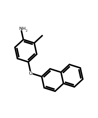 Cc1cc(Oc2ccc3ccccc3c2)ccc1N